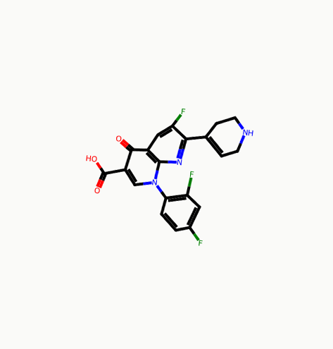 O=C(O)c1cn(-c2ccc(F)cc2F)c2nc(C3=CCNCC3)c(F)cc2c1=O